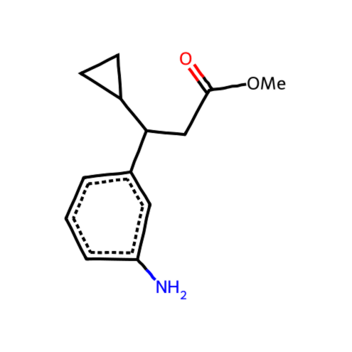 COC(=O)CC(c1cccc(N)c1)C1CC1